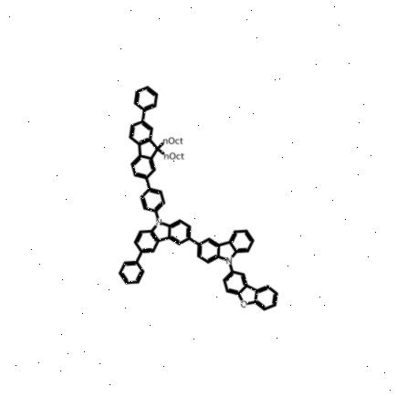 CCCCCCCCC1(CCCCCCCC)c2cc(-c3ccccc3)ccc2-c2ccc(-c3ccc(-n4c5ccc(-c6ccccc6)cc5c5cc(-c6ccc7c(c6)c6ccccc6n7-c6ccc7oc8ccccc8c7c6)ccc54)cc3)cc21